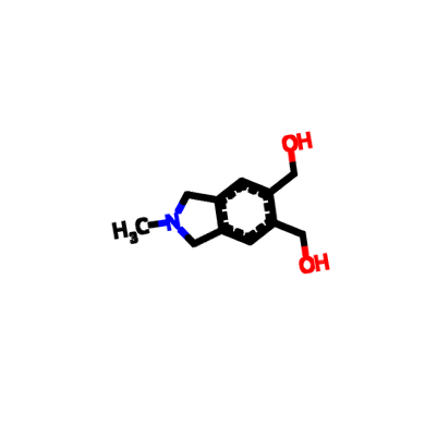 CN1Cc2cc(CO)c(CO)cc2C1